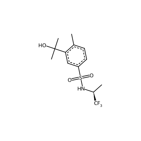 Cc1ccc(S(=O)(=O)N[C@@H](C)C(F)(F)F)cc1C(C)(C)O